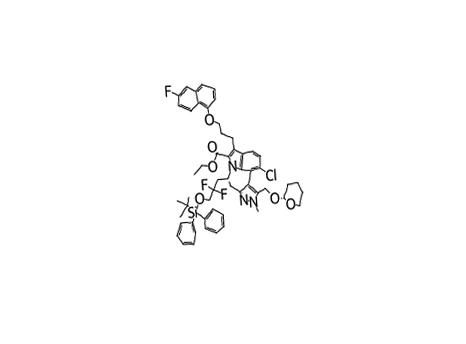 CCOC(=O)c1c(CCCOc2cccc3cc(F)ccc23)c2ccc(Cl)c(-c3c(CC)nn(C)c3CO[C@@H]3CCCCO3)c2n1CCC(F)(F)CO[Si](c1ccccc1)(c1ccccc1)C(C)(C)C